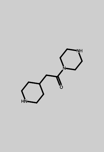 O=C(CC1CCNCC1)N1CCNCC1